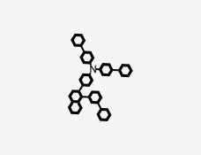 c1ccc(-c2ccc(N(c3ccc(-c4ccccc4)cc3)c3ccc(-c4ccc5ccccc5c4-c4cccc(-c5ccccc5)c4)cc3)cc2)cc1